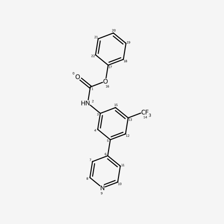 O=C(Nc1cc(-c2ccncc2)cc(C(F)(F)F)c1)Oc1ccccc1